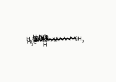 CCCCCCCC/C=C/CCCCCCCC(=O)NC(CCC[N+](C)(C)C)C(N)=O